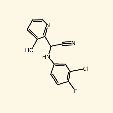 N#CC(Nc1ccc(F)c(Cl)c1)c1ncccc1O